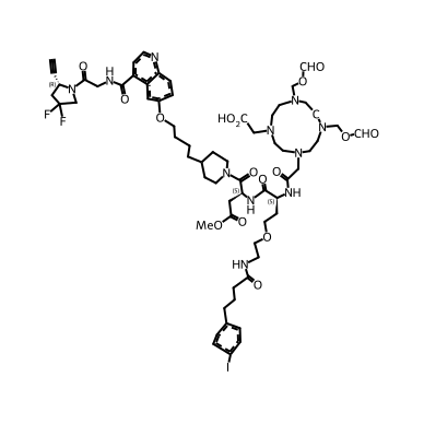 C#C[C@H]1CC(F)(F)CN1C(=O)CNC(=O)c1ccnc2ccc(OCCCCC3CCN(C(=O)[C@H](CC(=O)OC)NC(=O)[C@H](CCOCCNC(=O)CCCc4ccc(I)cc4)NC(=O)CN4CCN(COC=O)CCN(COC=O)CCN(CC(=O)O)CC4)CC3)cc12